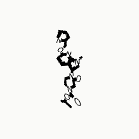 CC(C)OC(=O)N1CCN(c2cn(C)c3nc(OCc4ccccn4)ccc23)C(=O)C1